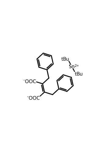 C[C](C)(C)[Sn+2][C](C)(C)C.O=C([O-])C(Cc1ccccc1)=C(Cc1ccccc1)C(=O)[O-]